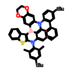 Cc1cc2c3c(c1)N(c1c(C)cc(C(C)(C)C)cc1C)c1sc4ccccc4c1B3c1cc3c(cc1N2c1ccc(C(C)(C)C)cc1-c1ccccc1)OCCO3